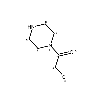 O=C(CCl)N1CCNCC1